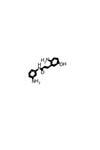 Nc1cccc(NC(=O)/C=C/c2cc(O)ccc2N)c1